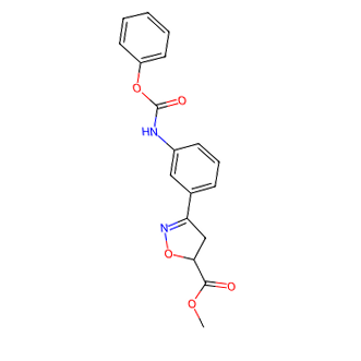 COC(=O)C1CC(c2cccc(NC(=O)Oc3ccccc3)c2)=NO1